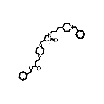 O=C(CCN1CCN(CC2CN(CCCC3CCN(Cc4ccccc4)CC3)C(=O)O2)CC1)OCc1ccccc1